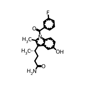 Cc1c([C@@H](C)CCC(N)=O)c2cc(O)ccc2n1C(=O)c1cccc(F)c1